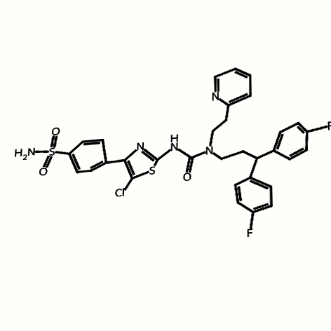 NS(=O)(=O)c1ccc(-c2nc(NC(=O)N(CCc3ccccn3)CCC(c3ccc(F)cc3)c3ccc(F)cc3)sc2Cl)cc1